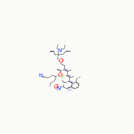 C=CCC(CC=C)(COCC/C(C(=C)OC(CCC)CCC#N)=C(C)/C(F)=C(C)/C(CC)=c1\c(CC)ccc\c1=C\C(C)N=O)N(CC)CC